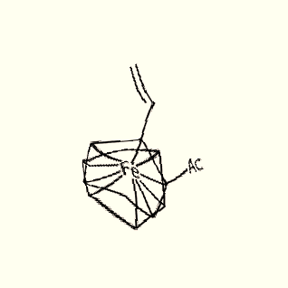 C=C[C]12[CH]3[CH]4[CH]5[C]1(C(C)=O)[Fe]43521678[CH]2[CH]1[CH]6[CH]7[CH]28